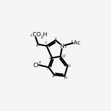 CC(=O)n1cc(CC(=O)O)c2c(Cl)cccc21